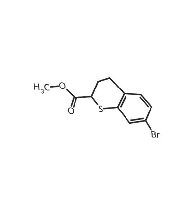 COC(=O)C1CCc2ccc(Br)cc2S1